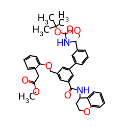 COC(=O)Cc1ccccc1OCc1cc(C(=O)NC2CCOc3ccccc32)cc(-c2cccc([C@@H](CO)NC(=O)OC(C)(C)C)c2)c1